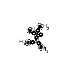 CS(=O)(=O)Oc1ccc([S+](c2ccc(OS(C)(=O)=O)cc2)c2ccc3c(c2)-c2ccccc2C3(c2ccc(OS(C)(=O)=O)cc2)c2ccc(OS(C)(=O)=O)cc2)cc1